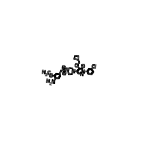 COc1cc(CS(=O)(=O)N2CCN(c3cnn(-c4cccc(Cl)c4)c(=O)c3OCC3CCC3)CC2)ccc1N